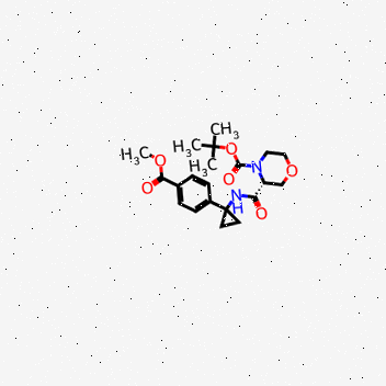 COC(=O)c1ccc(C2(NC(=O)[C@H]3COCCN3C(=O)OC(C)(C)C)CC2)cc1